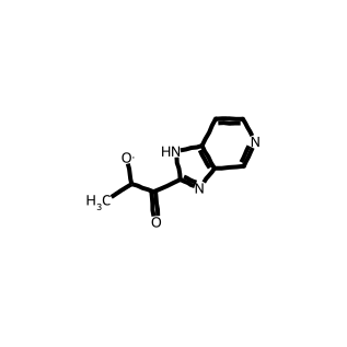 CC([O])C(=O)c1nc2cnccc2[nH]1